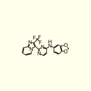 FC(F)(F)c1nc2ccccn2c1-c1nccc(Nc2ccc3c(c2)OCO3)n1